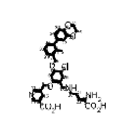 Cc1c(COc2cc(OCc3cncc(C(=O)O)c3)c(CNCCCC(N)C(=O)O)cc2Cl)cccc1-c1ccc2c(c1)OCCO2